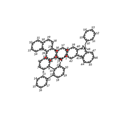 c1ccc(-c2ccccc2-c2c(-c3ccccc3)cccc2N(c2ccc3c(ccc4ccccc43)c2)c2ccc3c(c2)c2ccccc2n3-c2ccccc2)cc1